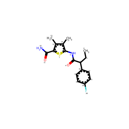 CCC(C(=O)Nc1sc(C(N)=O)c(C)c1C)c1ccc(F)cc1